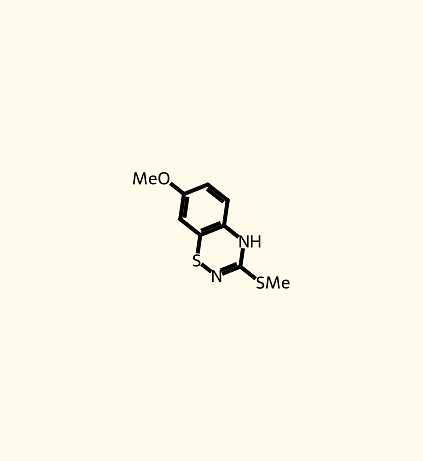 COc1ccc2c(c1)SN=C(SC)N2